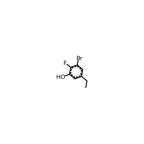 CCc1cc(O)c(F)c(Br)c1